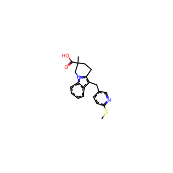 CSc1ccc(Cc2c3n(c4ccccc24)CC(C)(C(=O)O)CC3)cn1